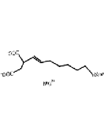 CCCCCCCCCCCCCC/C=C/C(CC(=O)[O-])C(=O)[O-].[Mg+2]